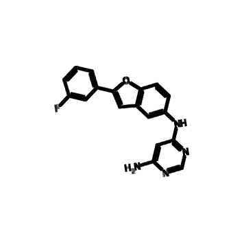 Nc1cc(Nc2ccc3oc(-c4cccc(F)c4)cc3c2)ncn1